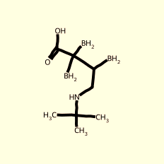 BC(CNC(C)(C)C)C(B)(B)C(=O)O